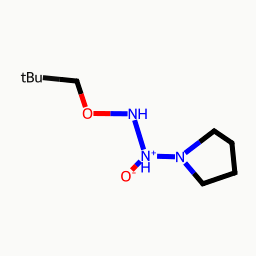 CC(C)(C)CON[NH+]([O-])N1CCCC1